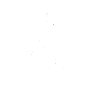 COc1cc(OC)cc(-c2cc3cnc(Cl)cc3nc2N)c1